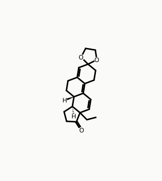 CCC12C=CC3=C4CCC5(C=C4CC[C@H]3[C@@H]1CCC2=O)OCCO5